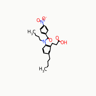 CCCCc1ccc(N(CCCC)C(=O)c2ccc([N+](=O)[O-])cc2)c(CCC(=O)O)c1